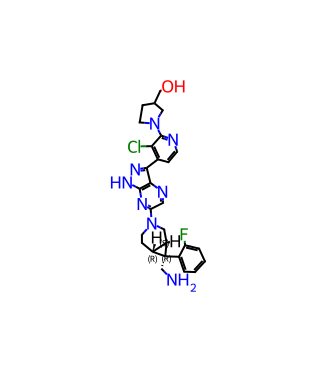 NC[C@]1(c2ccccc2F)[C@@H]2CCN(c3cnc4c(-c5ccnc(N6CCC(CO)C6)c5Cl)n[nH]c4n3)C[C@@H]21